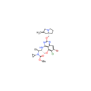 C=C1CN2CCC[C@@]2(COc2nc3c4c(c(Cl)c(Br)cc4n2)OC[C@H]([C@H](CC)N(C(=O)OC(C)(C)C)C2CC2)N3)C1